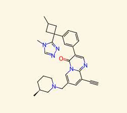 C#Cc1cc(CN2CCC[C@H](C)C2)cn2c(=O)c(-c3cccc(C4(c5nncn5C)CC(C)C4)c3)cnc12